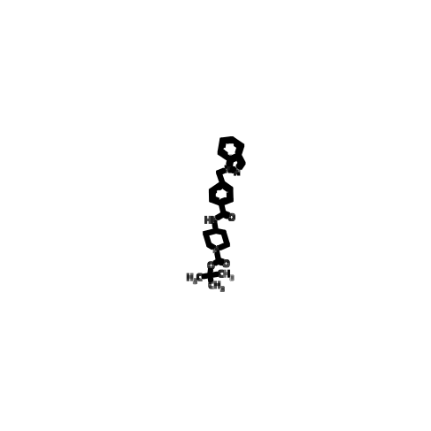 CC(C)(C)OC(=O)N1CCC(NC(=O)c2ccc(Cn3ncc4ccccc43)cc2)CC1